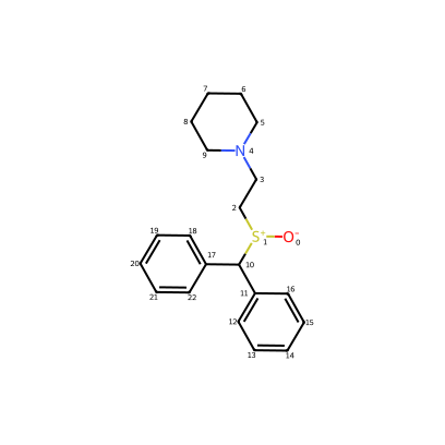 [O-][S+](CCN1CCCCC1)C(c1ccccc1)c1ccccc1